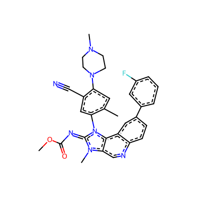 COC(=O)N=c1n(C)c2cnc3ccc(-c4cccc(F)c4)cc3c2n1-c1cc(C#N)c(N2CCN(C)CC2)cc1C